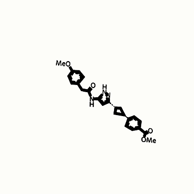 COC(=O)c1ccc([C@H]2C[C@@H](c3cc(NC(=O)Cc4ccc(OC)cc4)[nH]n3)C2)cc1